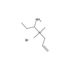 C=CC[N+](C)(C)C(N)CC.[Br-]